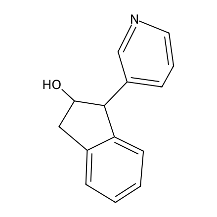 OC1Cc2ccccc2C1c1cccnc1